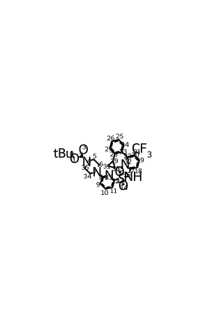 CC(C)(C)OC(=O)N1CCN(c2cccc(S(=O)(=O)Nc3ccc(C(F)(F)F)c(-c4ccccc4C4CC4)n3)n2)CC1